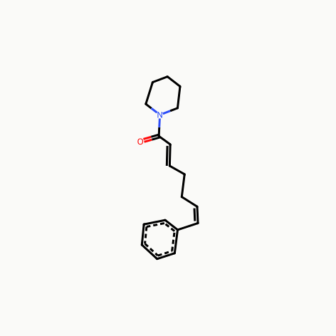 O=C(/C=C/CC/C=C\c1ccccc1)N1CCCCC1